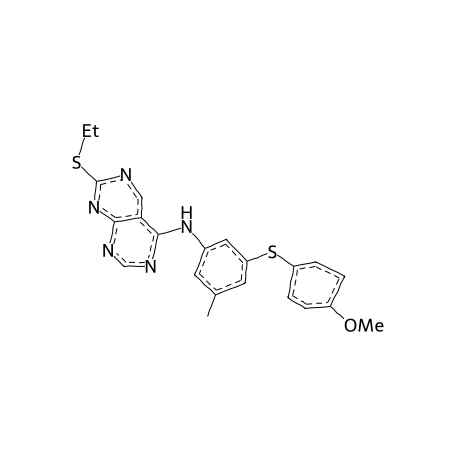 CCSc1ncc2c(Nc3cc(C)cc(Sc4ccc(OC)cc4)c3)ncnc2n1